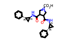 O=C(N[C@H]1C[C@@H]1c1ccccc1)C1CN(C(=O)O)CC1C(=O)N[C@H]1C[C@@H]1c1ccccc1